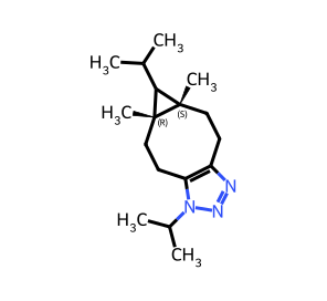 CC(C)C1[C@]2(C)CCc3nnn(C(C)C)c3CC[C@]12C